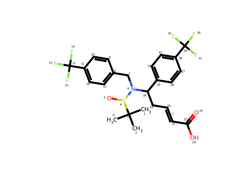 CC(C)(C)[S+]([O-])N(Cc1ccc(C(F)(F)F)cc1)C(C/C=C/C(=O)O)c1ccc(C(F)(F)F)cc1